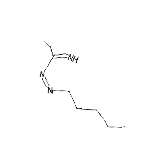 CCCCC/N=N\C(C)=N